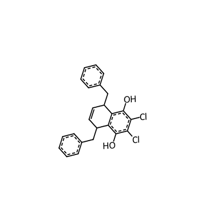 Oc1c(Cl)c(Cl)c(O)c2c1C(Cc1ccccc1)C=CC2Cc1ccccc1